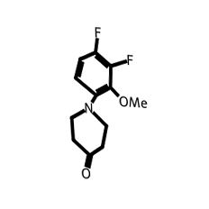 COc1c(N2CCC(=O)CC2)ccc(F)c1F